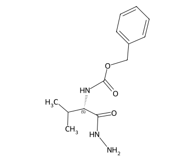 CC(C)[C@H](NC(=O)OCc1ccccc1)C(=O)NN